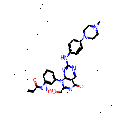 C=CC(=O)Nc1cccc(-n2c(CO)nc(=O)c3cnc(Nc4ccc(N5CCN(C)CC5)cc4)nc32)c1